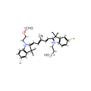 CC1(C)C(/C=C/C(C#N)=C/C=C2/N(CCOC=O)c3ccc(F)cc3C2(C)C)=[N+](CCC(=O)O)c2ccc(F)cc21